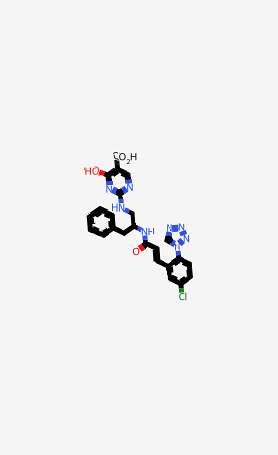 O=C(C=Cc1cc(Cl)ccc1-n1cnnn1)NC(CNc1ncc(C(=O)O)c(O)n1)Cc1ccccc1